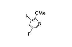 COc1ncc(F)cc1I